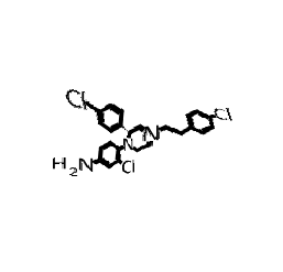 Nc1ccc(N2CCN(CCc3ccc(Cl)cc3)C[C@H]2c2ccc(Cl)cc2)c(Cl)c1